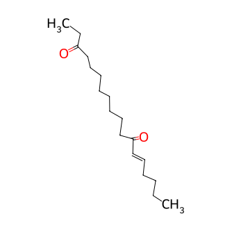 CCCCC=CC(=O)CCCCCCCCC(=O)CC